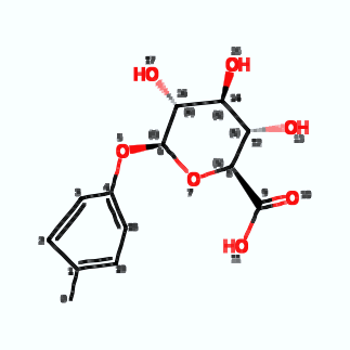 Cc1ccc(O[C@@H]2O[C@H](C(=O)O)[C@@H](O)[C@H](O)[C@H]2O)cc1